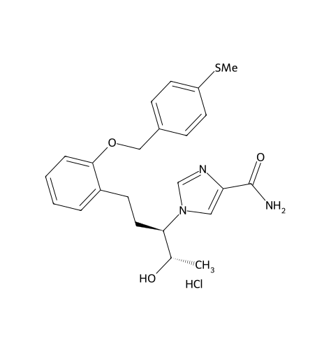 CSc1ccc(COc2ccccc2CC[C@H]([C@H](C)O)n2cnc(C(N)=O)c2)cc1.Cl